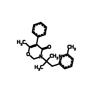 CC1=C(c2ccccc2)C(=O)N(C(C)(C)Cc2cccc(C)n2)CO1